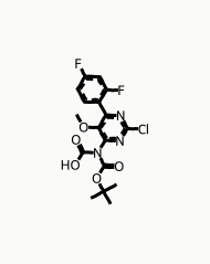 COc1c(-c2ccc(F)cc2F)nc(Cl)nc1N(C(=O)O)C(=O)OC(C)(C)C